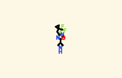 FC(F)(F)C1(Cc2noc(C3CNC3)n2)CC1